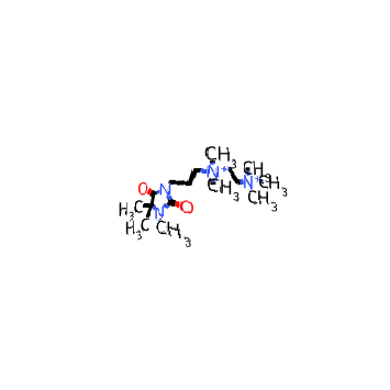 CN1C(=O)N(CCC[N+](C)(C)CC[N+](C)(C)C)C(=O)C1(C)C